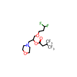 O=C(CC(C(F)(F)F)C(F)(F)F)OC(COCCC(F)F)CN1CCOCC1